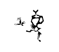 CCCN1C[C@H](CSC)CC2c3cccc4c3c(cn4C(C)C)C[C@H]21.CS(=O)(=O)O